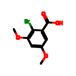 COc1cc(OC)c(Br)c(C(=O)O)c1